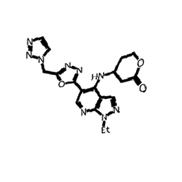 CCn1ncc2c(NC3CCOC(=O)C3)c(-c3nnc(Cn4ccnn4)o3)cnc21